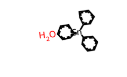 O.c1cc[c]([Sn]([c]2ccccc2)[c]2ccccc2)cc1